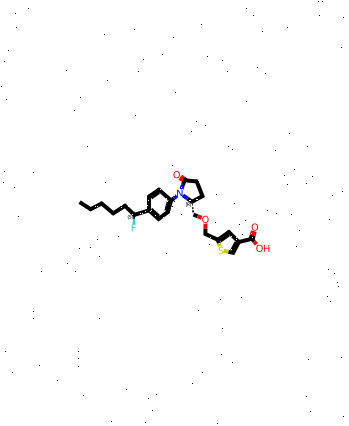 CCCCC[C@H](F)c1ccc(N2C(=O)CC[C@@H]2COCc2cc(C(=O)O)cs2)cc1